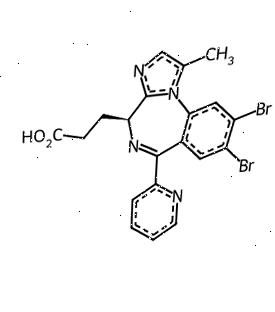 Cc1cnc2n1-c1cc(Br)c(Br)cc1C(c1ccccn1)=N[C@H]2CCC(=O)O